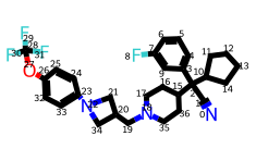 N#CC(c1cccc(F)c1)(C1CCCC1)C1CCN(CC2CN(c3ccc(OC(F)(F)F)cc3)C2)CC1